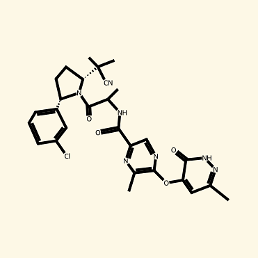 Cc1cc(Oc2ncc(C(=O)NC(C)C(=O)N3[C@H](c4cccc(Cl)c4)CC[C@@H]3C(C)(C)C#N)nc2C)c(=O)[nH]n1